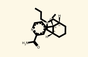 CCCN1C[C@H]2CCC[C@@H](C1)[C@@]2(OC)c1ccnc(C(N)=O)c1